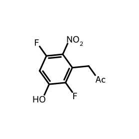 CC(=O)Cc1c(F)c(O)cc(F)c1[N+](=O)[O-]